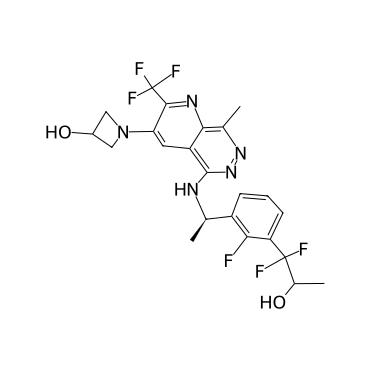 Cc1nnc(N[C@H](C)c2cccc(C(F)(F)C(C)O)c2F)c2cc(N3CC(O)C3)c(C(F)(F)F)nc12